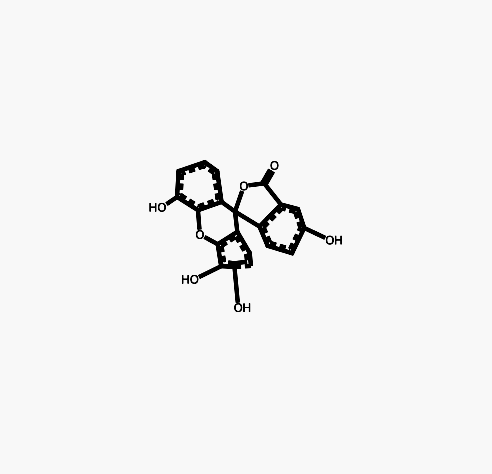 O=C1OC2(c3ccc(O)cc31)c1cccc(O)c1Oc1c2ccc(O)c1O